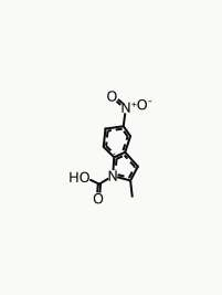 Cc1cc2cc([N+](=O)[O-])ccc2n1C(=O)O